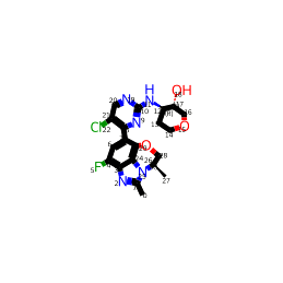 Cc1nc2c(F)cc(-c3nc(N[C@@H]4CCOC[C@H]4O)ncc3Cl)c3c2n1[C@H](C)CO3